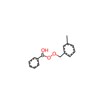 Cc1cccc(COOB(O)c2ccccc2)c1